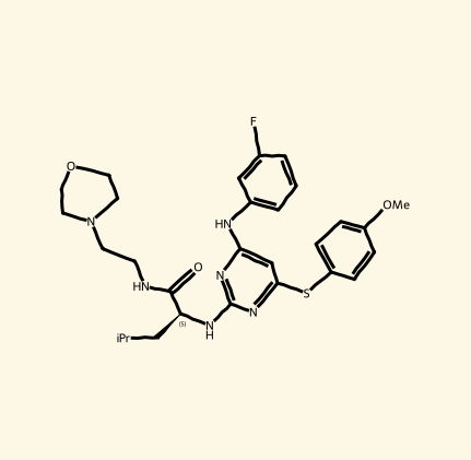 COc1ccc(Sc2cc(Nc3cccc(F)c3)nc(N[C@@H](CC(C)C)C(=O)NCCN3CCOCC3)n2)cc1